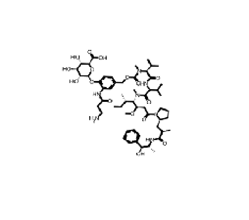 CC[C@H](C)[C@@H]([C@@H](CC(=O)N1CCC[C@H]1C[C@@H](C)C(=O)N[C@H](C)[C@@H](O)c1ccccc1)OC)N(C)C(=O)[C@@H](NC(=O)[C@H](C(C)C)N(C)C(=O)OCc1ccc(O[C@@H]2O[C@H](C(=O)O)[C@@H](O)[C@H](O)[C@H]2O)c(NC(=O)CCN)c1)C(C)C